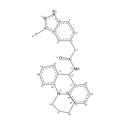 O=C(Cc1ccc2[nH]nc(I)c2c1)NC(c1ccccc1)c1ccccc1N1CCCCC1